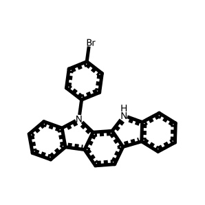 Brc1ccc(-n2c3ccccc3c3ccc4c5ccccc5[nH]c4c32)cc1